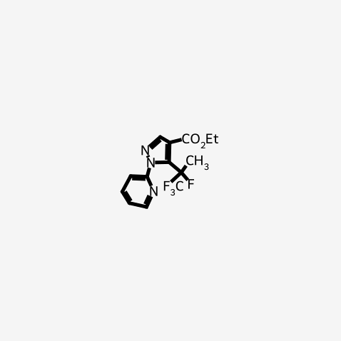 CCOC(=O)c1cnn(-c2ccccn2)c1C(C)(F)C(F)(F)F